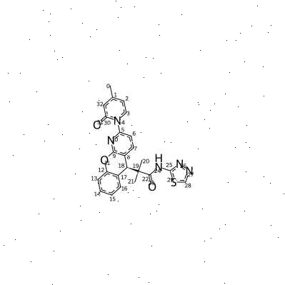 Cc1ccn(-c2ccc3c(n2)Oc2ccccc2[C@@H]3C(C)(C)C(=O)Nc2nncs2)c(=O)c1